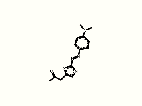 CC(=O)Cc1cnc(N=Nc2ccc(N(C)C)cc2)s1